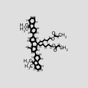 C=CC(=O)OCCCCCC1(CCCCCOC(=O)C=C)c2cc(-c3ccc4c(c3)C(C)(C)c3ccccc3-4)ccc2-c2c(I)cc(-c3ccc4c(c3)C(C)(C)c3ccccc3-4)cc21